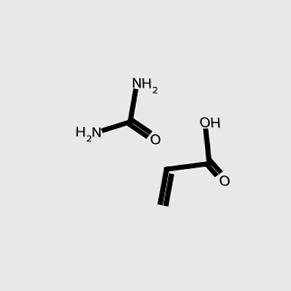 C=CC(=O)O.NC(N)=O